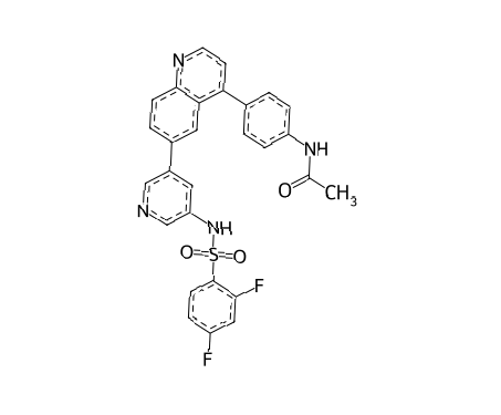 CC(=O)Nc1ccc(-c2ccnc3ccc(-c4cncc(NS(=O)(=O)c5ccc(F)cc5F)c4)cc23)cc1